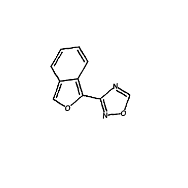 c1ccc2c(-c3ncon3)occ2c1